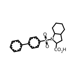 O=C(O)C1CC2CCCCC2N1S(=O)(=O)c1ccc(-c2ccccc2)cc1